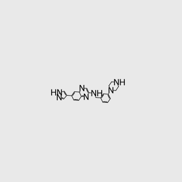 c1cc(CNc2cnc3cc(-c4cn[nH]c4)ccc3n2)cc(N2CCNCC2)c1